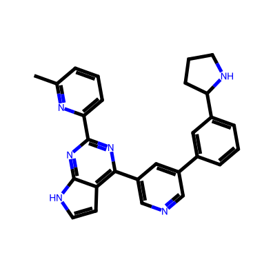 Cc1cccc(-c2nc(-c3cncc(-c4cccc(C5CCCN5)c4)c3)c3cc[nH]c3n2)n1